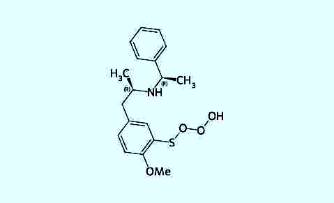 COc1ccc(C[C@@H](C)N[C@H](C)c2ccccc2)cc1SOOO